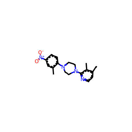 Cc1cc([N+](=O)[O-])ccc1N1CCN(c2nccc(C)c2C)CC1